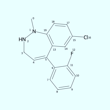 CN1NCC=C(c2ccccc2F)c2cc(Cl)ccc21